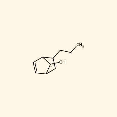 CCCC1CC2C=CC1C2O